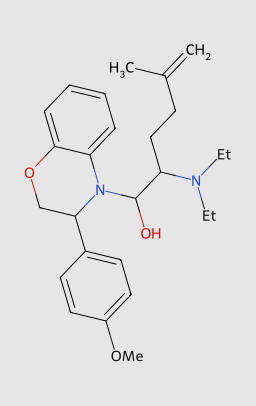 C=C(C)CCC(C(O)N1c2ccccc2OCC1c1ccc(OC)cc1)N(CC)CC